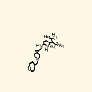 CN/C=C(\C(C)=N)C(=N)/C=C\C(=N)NCC1CC12CCN(CC1CCOCC1)CC2